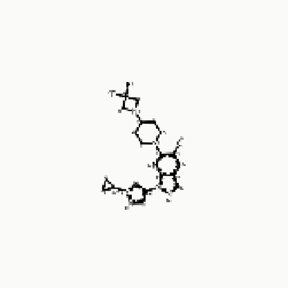 FC1(F)CN(C2CCN(c3nc4c(cnn4-c4cnn(C5CC5)c4)cc3Cl)CC2)C1